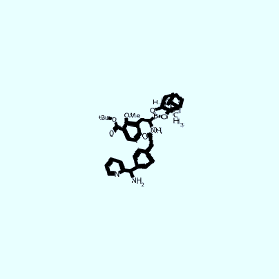 COc1c(CC(NC(=O)Cc2ccc(C(N)c3ccccn3)cc2)B2OC3CC4CC(C4(C)C)C3(C)O2)cccc1C(=O)OC(C)(C)C